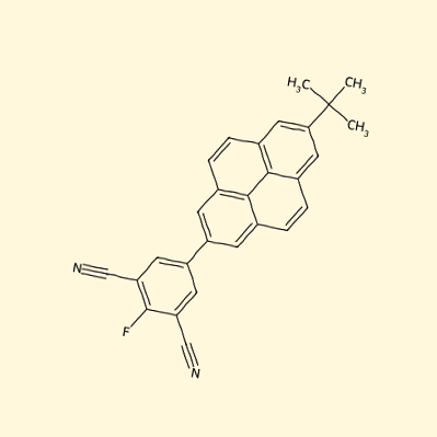 CC(C)(C)c1cc2ccc3cc(-c4cc(C#N)c(F)c(C#N)c4)cc4ccc(c1)c2c34